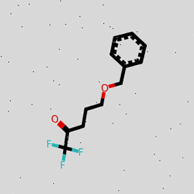 O=C(CCCOCc1ccccc1)C(F)(F)F